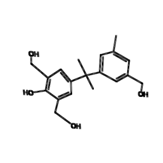 Cc1cc(CO)cc(C(C)(C)c2cc(CO)c(O)c(CO)c2)c1